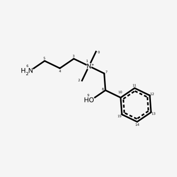 C[N+](C)(CCCN)CC(O)c1ccccc1